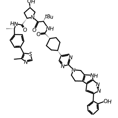 Cc1ncsc1-c1ccc([C@H](C)NC(=O)[C@@H]2C[C@@H](O)CN2C(=O)[C@@H](NC(=O)[C@H]2CC[C@@H](c3cnc(N4CCc5c([nH]c6nnc(-c7ccccc7O)cc56)C4)nc3)CC2)C(C)(C)C)cc1